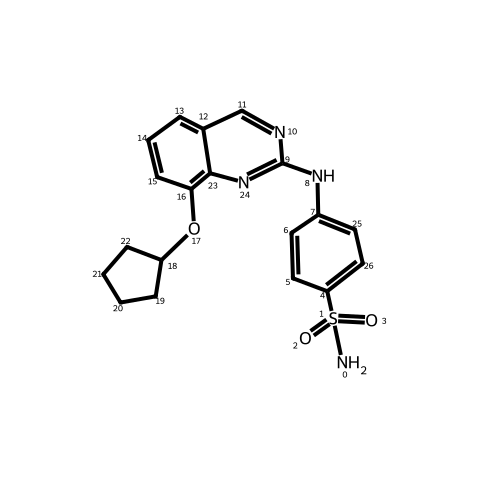 NS(=O)(=O)c1ccc(Nc2ncc3cccc(OC4CCCC4)c3n2)cc1